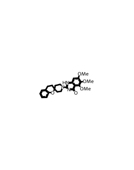 COc1cc2[nH]c(N3CCC4(CCc5ccccc5O4)CC3)nc(=O)c2c(OC)c1OC